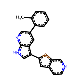 Cc1ccccc1-c1cnc2[nH]cc(-c3cc4ccncc4s3)c2c1